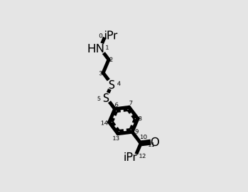 CC(C)NCCSSc1ccc(C(=O)C(C)C)cc1